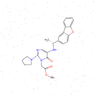 C[C@@H](Nc1cnc(N2CCCC2)n(CC(=O)OC(C)(C)C)c1=O)c1ccc2oc3ccccc3c2c1